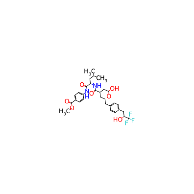 COC(=O)c1ccc(NC(=O)C(CC(C)C)NC(=O)C(CCCc2ccc(CC(O)C(F)(F)F)cc2)CC(=O)O)cc1